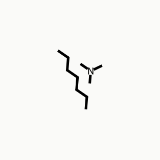 CCCCCCC.CN(C)C